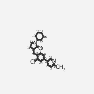 Cc1ccc(-c2ccc(CC3CCN(C4CCCCC4)C3=O)c(Cl)c2)cn1